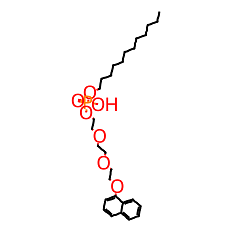 CCCCCCCCCCCCOP(=O)(O)OCCOCCOCCOc1cccc2ccccc12